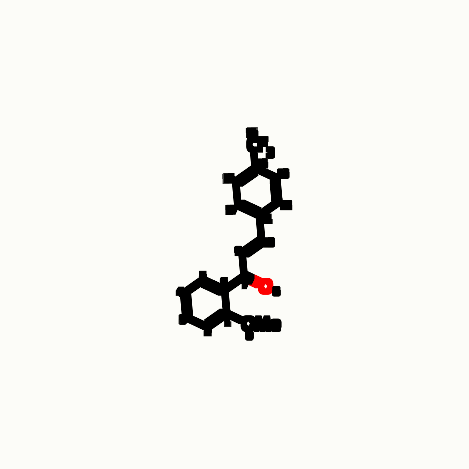 COc1ccccc1C(=O)C=Cc1ccc(C(F)(F)F)cc1